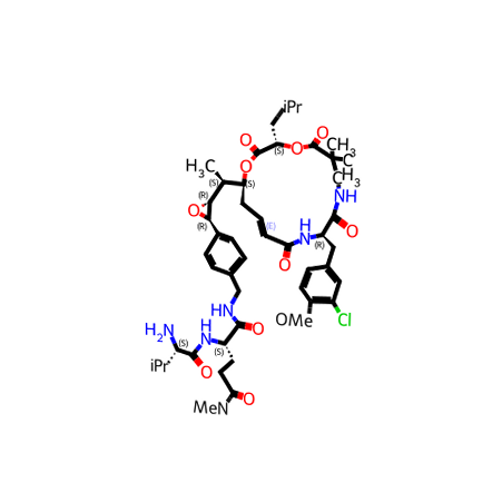 CNC(=O)CC[C@H](NC(=O)[C@@H](N)C(C)C)C(=O)NCc1ccc([C@H]2O[C@@H]2[C@@H](C)[C@@H]2C/C=C/C(=O)N[C@H](Cc3ccc(OC)c(Cl)c3)C(=O)NCC(C)(C)C(=O)O[C@@H](CC(C)C)C(=O)O2)cc1